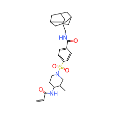 C=CC(=O)NC1CCN(S(=O)(=O)c2ccc(C(=O)NCC34CC5CC(CC(C5)C3)C4)cc2)CC1C